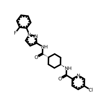 O=C(N[C@H]1CC[C@@H](C(=O)Nc2ccn(-c3ccccc3F)n2)CC1)c1ccc(Cl)cn1